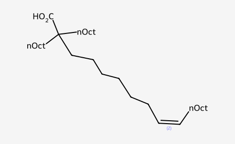 CCCCCCCC/C=C\CCCCCCC(CCCCCCCC)(CCCCCCCC)C(=O)O